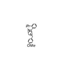 COc1ccc(CN2CC3CC2C(c2ccccc2C(C)C)N3C)cc1